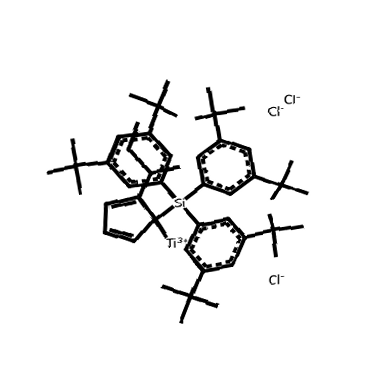 CCC(C)C1=CC=C[C]1([Ti+3])[Si](c1cc(C(C)(C)C)cc(C(C)(C)C)c1)(c1cc(C(C)(C)C)cc(C(C)(C)C)c1)c1cc(C(C)(C)C)cc(C(C)(C)C)c1.[Cl-].[Cl-].[Cl-]